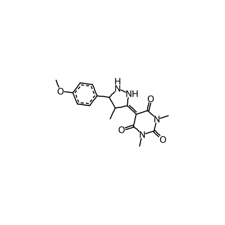 COc1ccc(C2NNC(=C3C(=O)N(C)C(=O)N(C)C3=O)C2C)cc1